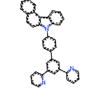 c1ccc(-c2cc(-c3ccc(-n4c5ccccc5c5c6ccccc6ccc54)cc3)cc(-c3ccccn3)c2)nc1